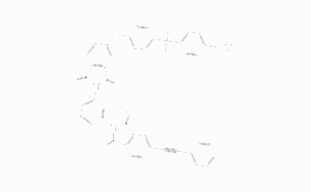 COc1ccc(C(C)(C)c2ccc(Oc3ccc4c(c3)C(=O)N(c3cccc(N5C(=O)c6ccc(C#Cc7ccccc7)cc6C5=O)c3)C4=O)cc2)cc1